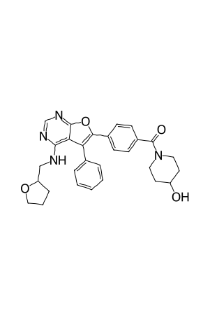 O=C(c1ccc(-c2oc3ncnc(NCC4CCCO4)c3c2-c2ccccc2)cc1)N1CCC(O)CC1